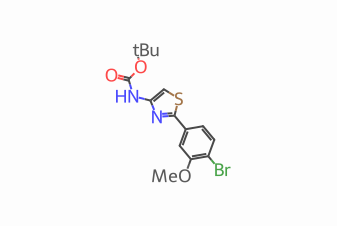 COc1cc(-c2nc(NC(=O)OC(C)(C)C)cs2)ccc1Br